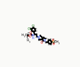 CC(C)(C)OC(=O)NC(CCN1CCC2(CC1)CCN(Cc1ccc(S(C)(=O)=O)cc1)C2=O)c1ccc(Cl)c(Cl)c1